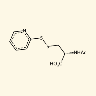 CC(=O)N[C@@H](CSSc1ccccn1)C(=O)O